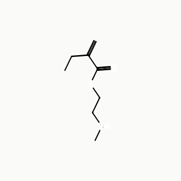 C=C(CC)C(=O)OCCNC